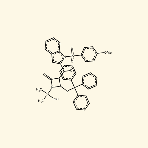 COc1ccc(S(=O)(=O)n2c(C(O)C3C(=O)N([Si](C)(C)C(C)(C)C)C3SC(c3ccccc3)(c3ccccc3)c3ccccc3)cc3ccccc32)cc1